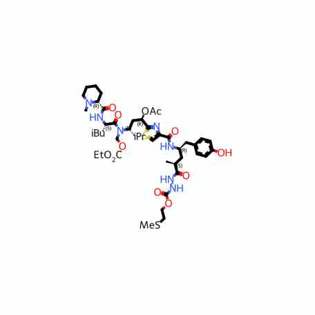 CCOC(=O)OCN(C(=O)[C@@H](NC(=O)[C@H]1CCCCN1C)C(C)CC)[C@H](C[C@@H](OC(C)=O)c1nc(C(=O)N[C@@H](Cc2ccc(O)cc2)C[C@H](C)C(=O)NNC(=O)OCCSC)cs1)C(C)C